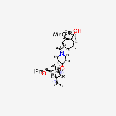 C=C(C1=CC(OC)=C(C(C)(O)CC)CCC1)N1CCC(O/C(=C/C=C\C)C(C)C(CC)COC(C)C)CC1